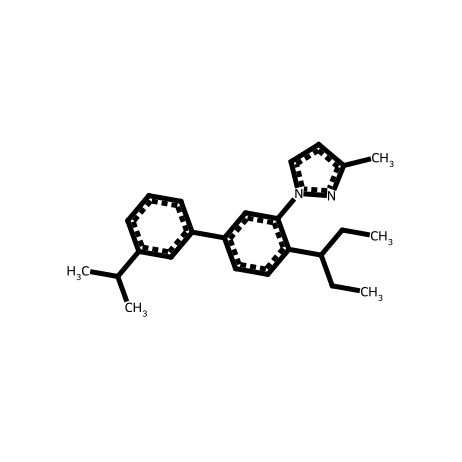 CCC(CC)c1ccc(-c2cccc(C(C)C)c2)cc1-n1ccc(C)n1